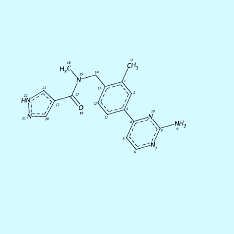 Cc1cc(-c2ccnc(N)n2)ccc1CN(C)C(=O)c1cn[nH]c1